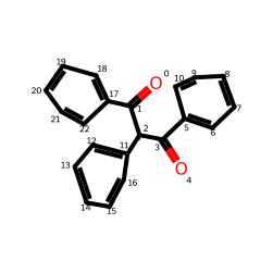 O=C([C](C(=O)c1ccccc1)c1ccccc1)c1ccccc1